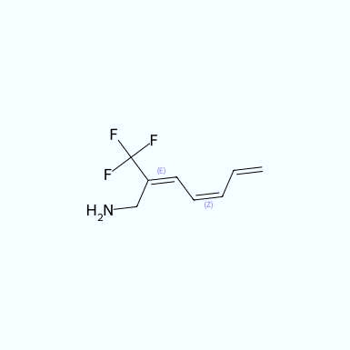 C=C/C=C\C=C(/CN)C(F)(F)F